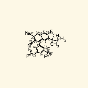 CCC(C)(C)c1cc2c(-c3cc(CC(F)F)cc(C(F)(F)F)c3)c(C#N)c(C#N)cc2cc1F